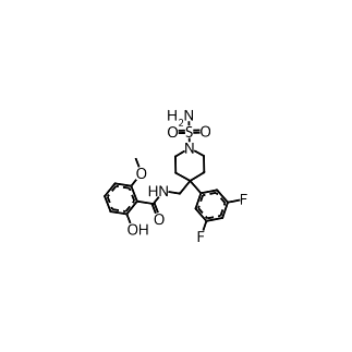 COc1cccc(O)c1C(=O)NCC1(c2cc(F)cc(F)c2)CCN(S(N)(=O)=O)CC1